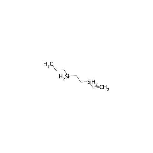 C=C[SiH2]CC[SiH2]CCC